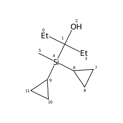 CCC(O)(CC)[Si](C)(C1CC1)C1CC1